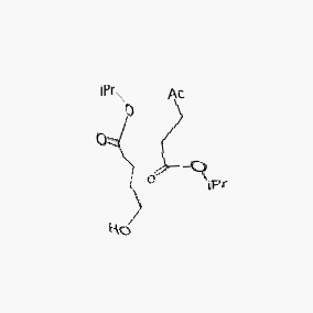 CC(=O)CCC(=O)OC(C)C.CC(C)OC(=O)CCCO